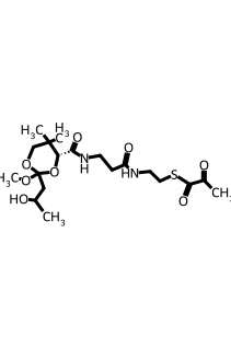 COC1(CC(C)O)OCC(C)(C)[C@H](C(=O)NCCC(=O)NCCSC(=O)C(C)=O)O1